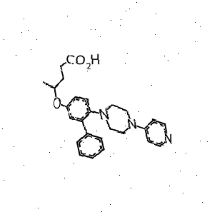 CC(CCC(=O)O)Oc1ccc(N2CCN(c3ccncc3)CC2)c(-c2ccccc2)c1